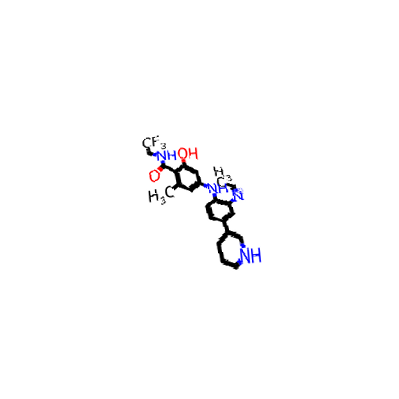 C/C=N\c1cc(C2CCCNC2)ccc1Nc1cc(C)c(C(=O)NCC(F)(F)F)c(O)c1